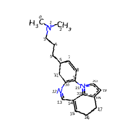 CN(C)CCCC1C=CC2=C(C1)N=CC1=CCCc3ccn2c31